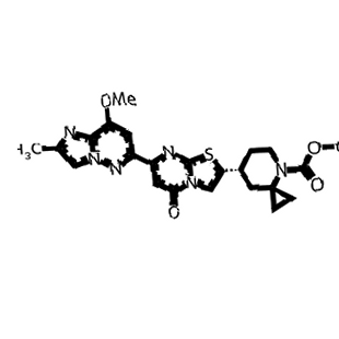 COc1cc(-c2cc(=O)n3cc([C@@H]4CCN(C(=O)OC(C)(C)C)C5(CC5)C4)sc3n2)nn2cc(C)nc12